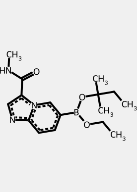 CCOB(OC(C)(C)CC)c1ccc2ncc(C(=O)NC)n2c1